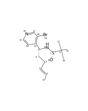 C/C=C/CC[C@@H](N[S@@+]([O-])C(C)(C)C)c1ccncc1Br